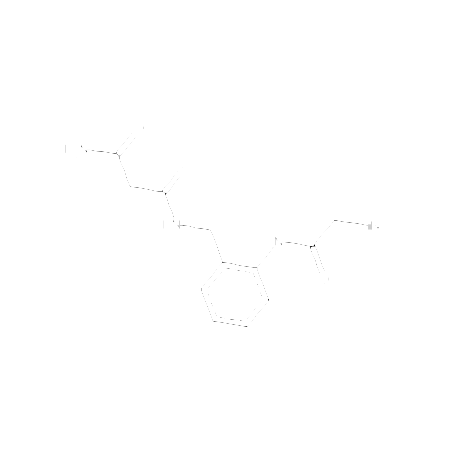 CCC(C)CC(=O)Nc1ccccc1CNC(=O)CC(N)=O